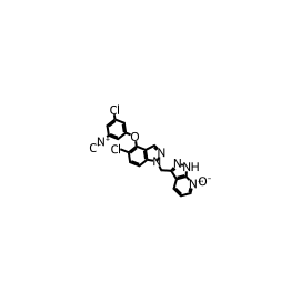 [C-]#[N+]c1cc(Cl)cc(Oc2c(Cl)ccc3c2cnn3Cc2n[nH]c3c2ccc[n+]3[O-])c1